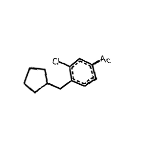 CC(=O)c1ccc(CC2CCCC2)c(Cl)c1